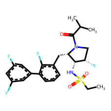 CCS(=O)(=O)N[C@H]1[C@@H](F)CN(C(=O)C(C)C)[C@H]1Cc1cccc(-c2cc(F)cc(F)c2)c1F